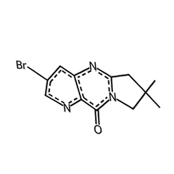 CC1(C)Cc2nc3cc(Br)cnc3c(=O)n2C1